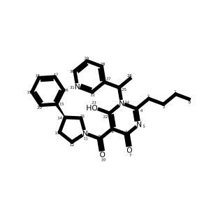 CCCCc1nc(=O)c(C(=O)N2CC[C@@H](c3ccccc3)C2)c(O)n1C(C)c1cccnc1